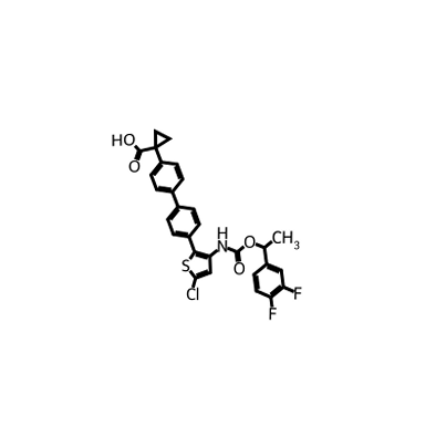 CC(OC(=O)Nc1cc(Cl)sc1-c1ccc(-c2ccc(C3(C(=O)O)CC3)cc2)cc1)c1ccc(F)c(F)c1